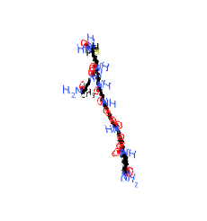 CC(CCCCNC(=O)[C@H](CCCCNC(=O)CCCC(=O)NCCOCCOCC(=O)NCCOCCOCC(=O)NCCCCCC(N)=O)NC(=O)CCCC[C@@H]1SC[C@@H]2NC(=O)N[C@@H]21)C(N)=O